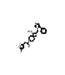 Cc1cc(CC(=O)N2CCC3(CC2)C[C@@H]([C@H]2c4ccccc4-c4cncn42)[C@H]3O)on1